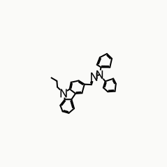 CCCn1c2ccccc2c2cc(/C=N/N(c3ccccc3)c3ccccc3)ccc21